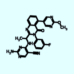 COc1ncc(-c2cccc3nc(C(C)Nc4nc(N)ncc4C#N)n(-c4cccc(F)c4)c(=O)c23)cn1